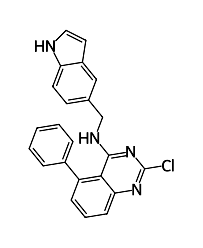 Clc1nc(NCc2ccc3[nH]ccc3c2)c2c(-c3ccccc3)cccc2n1